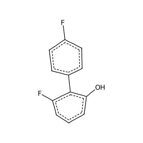 Oc1cccc(F)c1-c1ccc(F)cc1